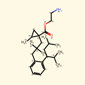 CC(C)CC(c1ccccc1CC(C)(C)CC1(C(=O)OCCN)CC1C)C(C)C